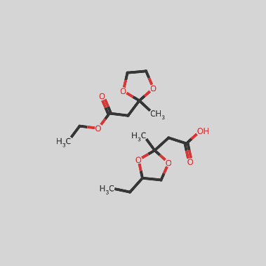 CCC1COC(C)(CC(=O)O)O1.CCOC(=O)CC1(C)OCCO1